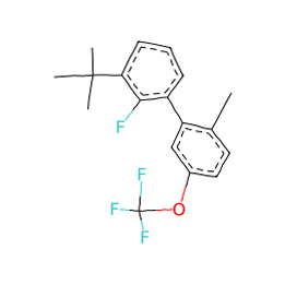 Cc1ccc(OC(F)(F)F)cc1-c1cccc(C(C)(C)C)c1F